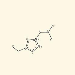 CCc1cnn(CC(C)C)c1